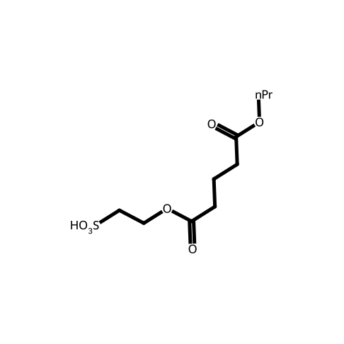 CCCOC(=O)CCCC(=O)OCCS(=O)(=O)O